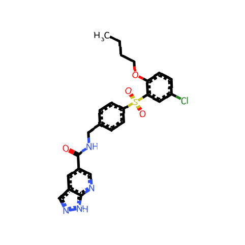 CCCCOc1ccc(Cl)cc1S(=O)(=O)c1ccc(CNC(=O)c2cnc3[nH]ncc3c2)cc1